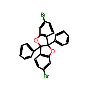 Brc1ccc2c(c1)OC1(c3ccccc3)c3ccc(Br)cc3OC21c1ccccc1